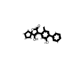 Cc1cc(-c2ccccc2)c(Cl)cc1C1=C(O)C2(CCCC2)OC1=O